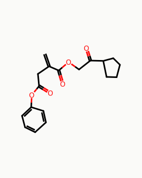 C=C(CC(=O)Oc1ccccc1)C(=O)OCC(=O)C1CCCC1